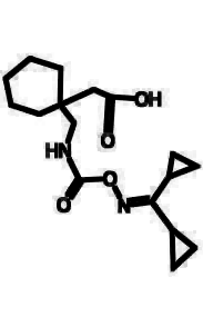 O=C(O)CC1(CNC(=O)ON=C(C2CC2)C2CC2)CCCCC1